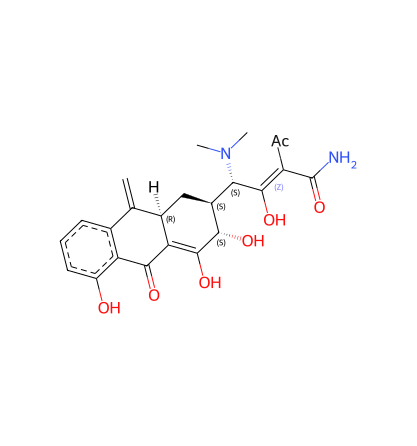 C=C1c2cccc(O)c2C(=O)C2=C(O)[C@@H](O)[C@H]([C@@H](/C(O)=C(\C(C)=O)C(N)=O)N(C)C)C[C@H]12